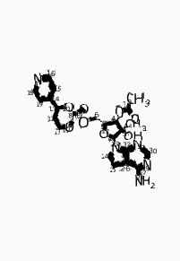 CC(=O)O[C@@H]1[C@@H](CO[P@@]2(=O)OCCC(c3ccncc3)O2)O[C@@H](n2ccc3c(N)ncnc32)[C@]1(C)O